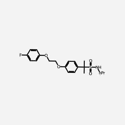 CCCNS(=O)(=O)C(C)(C)c1ccc(OCCOc2ccc(F)cc2)cc1